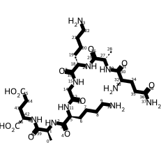 C[C@H](NC(=O)[C@H](CCCCN)NC(=O)CNC(=O)[C@H](CCCCN)NC(=O)[C@H](C)NC(=O)[C@@H](N)CCC(N)=O)C(=O)N[C@@H](CCC(=O)O)C(=O)O